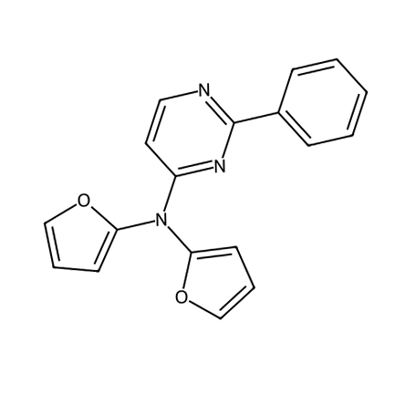 c1ccc(-c2nccc(N(c3ccco3)c3ccco3)n2)cc1